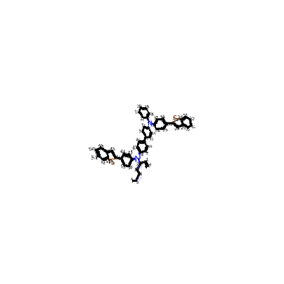 C=C/C(=C\C=C/C)N(c1ccc(-c2ccc(N(c3ccccc3)c3ccc(-c4cc5ccccc5s4)cc3)cc2)cc1)c1ccc(-c2cc3ccccc3s2)cc1